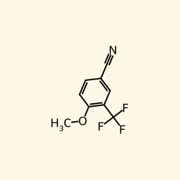 COc1ccc(C#N)cc1C(F)(F)F